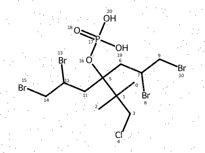 CC(C)(CCl)C(CC(Br)CBr)(CC(Br)CBr)OP(=O)(O)O